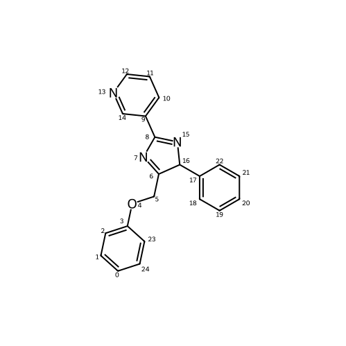 c1ccc(OCC2=NC(c3cccnc3)=NC2c2ccccc2)cc1